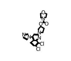 O=C(O[C@@H]1CCN(c2cc(-n3ccnc3)c3ccc(Cl)c(Cl)c3n2)C1)N1CCOCC1